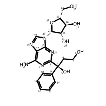 Nc1nc([C@](O)(CCO)c2ccccc2)nc2c1ncn2[C@@H]1O[C@H](CO)[C@@H](O)[C@@H]1O